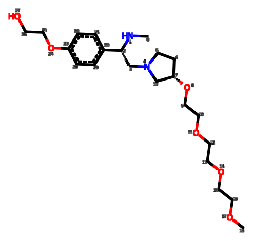 CN[C@H](CN1CC[C@H](OCCOCCOCCOC)C1)c1ccc(OCCO)cc1